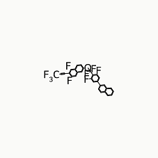 Fc1cc2cc(OC(F)(F)c3c(F)cc(-c4ccc5ccccc5c4)cc3F)ccc2c(F)c1C#CC(F)(F)F